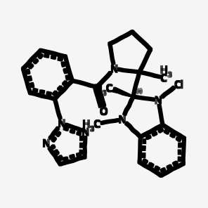 CN1c2ccccc2N(Cl)[C@@]1(C)C1(C)CCCN1C(=O)c1ccccc1-n1nccn1